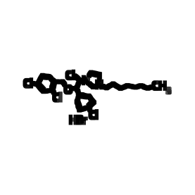 Br.CCCCCCCCN1C=CN(C(Cl)C(OCc2ccc(Cl)cc2Cl)c2ccc(Cl)cc2)C1